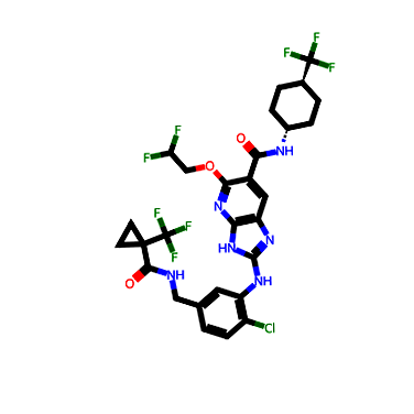 O=C(N[C@H]1CC[C@H](C(F)(F)F)CC1)c1cc2nc(Nc3cc(CNC(=O)C4(C(F)(F)F)CC4)ccc3Cl)[nH]c2nc1OCC(F)F